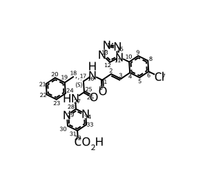 O=C(C=Cc1cc(Cl)ccc1-n1cnnn1)N[C@@H](Cc1ccccc1)C(=O)Nc1ncc(C(=O)O)cn1